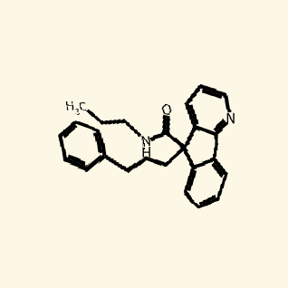 CCCNC(=O)C1(CCCc2ccccc2)c2ccccc2-c2ncccc21